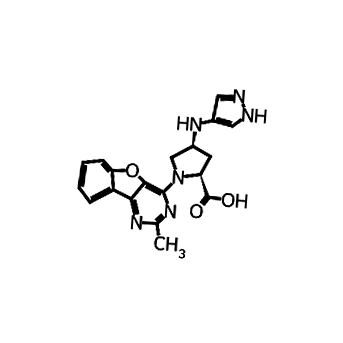 Cc1nc(N2C[C@@H](Nc3cn[nH]c3)C[C@H]2C(=O)O)c2oc3ccccc3c2n1